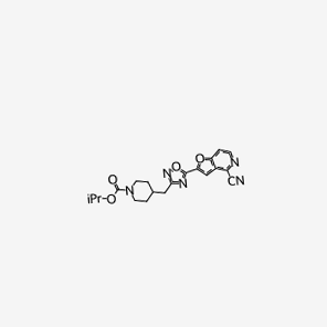 CC(C)OC(=O)N1CCC(Cc2noc(-c3cc4c(C#N)nccc4o3)n2)CC1